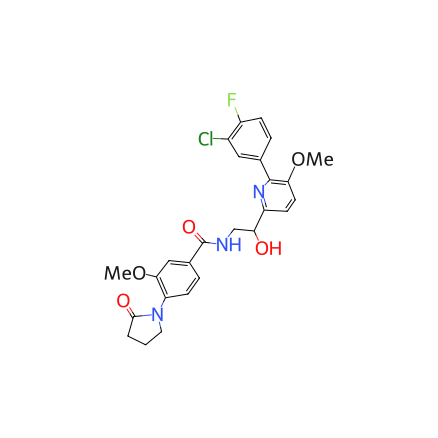 COc1cc(C(=O)NCC(O)c2ccc(OC)c(-c3ccc(F)c(Cl)c3)n2)ccc1N1CCCC1=O